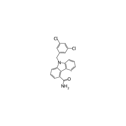 NC(=O)c1cccc2c1c1[c]cccc1n2Cc1cc(Cl)cc(Cl)c1